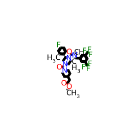 CCOC(=O)CC1CCN(C(=O)N2CCN(C(=O)N(C)[C@H](C)c3cc(C(F)(F)F)cc(C(F)(F)F)c3)[C@@H](c3ccc(F)cc3C)C2)CC1